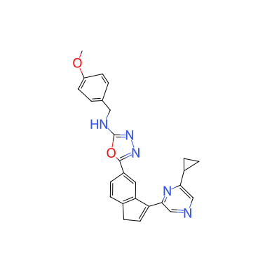 COc1ccc(CNc2nnc(-c3ccc4c(c3)C(c3cncc(C5CC5)n3)=CC4)o2)cc1